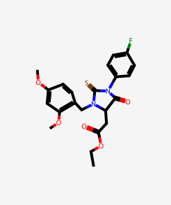 CCOC(=O)CC1C(=O)N(c2ccc(F)cc2)C(=S)N1Cc1ccc(OC)cc1OC